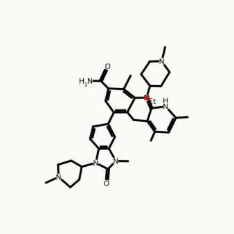 CCN(c1c(C)c(C(N)=O)cc(-c2ccc3c(c2)n(C)c(=O)n3C2CCN(C)CC2)c1Cc1c(C)cc(C)[nH]c1=O)C1CCN(C)CC1